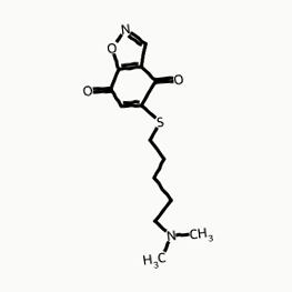 CN(C)CCCCCSC1=CC(=O)c2oncc2C1=O